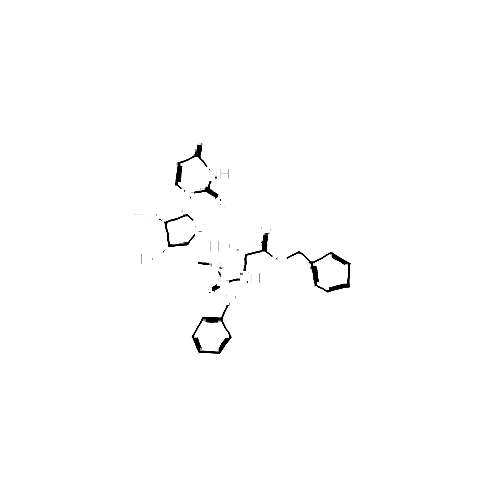 C[C@H]1[C@@H](O)[C@H](n2ccc(=O)[nH]c2=O)O[C@@H]1COP(=O)(N[C@H](C)C(=O)OCc1ccccc1)Oc1ccccc1